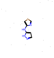 c1cc(Nc2cscn2)[nH]n1